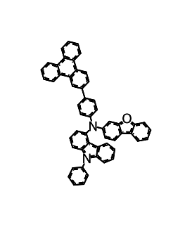 c1ccc(-n2c3ccccc3c3c(N(c4ccc(-c5ccc6c7ccccc7c7ccccc7c6c5)cc4)c4ccc5c(c4)oc4ccccc45)cccc32)cc1